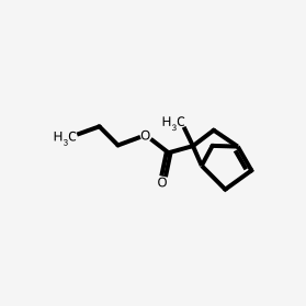 CCCOC(=O)C1(C)CC2=CCC1C2